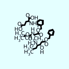 CC(C)C[C@H](N)[C@@H](O)CC(=O)OCc1ccccc1.C[C@H](NC(=O)OC(C)(C)C)C(=O)OCc1ccccc1.N[C@@H](CCC(=O)O)C(=O)O